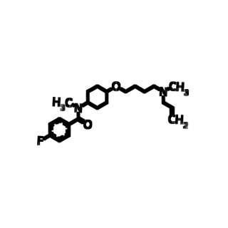 C=CCN(C)CCCCOC1CCC(N(C)C(=O)c2ccc(F)cc2)CC1